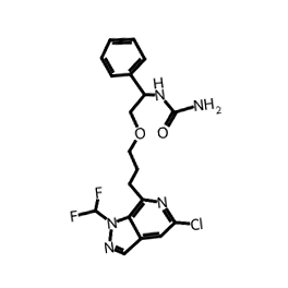 NC(=O)NC(COCCCc1nc(Cl)cc2cnn(C(F)F)c12)c1ccccc1